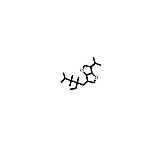 CCC(C)(CC1COC2C(C(C)C)COC12)C(C)(C)C(C)C